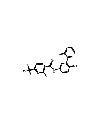 Cc1cccnc1-c1cc(NC(=O)c2ccc(C(F)(F)F)nc2C)ccc1Cl